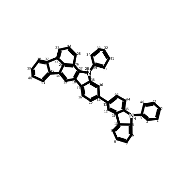 c1ccc(-n2c3ccccc3c3cc(-c4ccc5c6cc7c8c(cccc8c6n(-c6ccccc6)c5c4)-c4ccccc4-7)ccc32)cc1